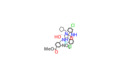 COC(=O)c1ccc(CN[C@@H]2[C@H](CO)N(CC3CCCC3)[C@@]3(C(=O)Nc4cc(Cl)ccc43)[C@H]2c2cccc(Cl)c2F)c([N+](=O)[O-])c1